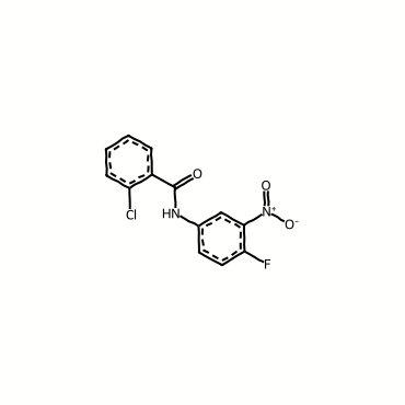 O=C(Nc1ccc(F)c([N+](=O)[O-])c1)c1ccccc1Cl